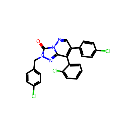 O=c1n(Cc2ccc(Cl)cc2)nc2c(-c3ccccc3Cl)c(-c3ccc(Cl)cc3)cnn12